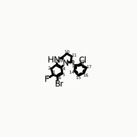 FC1CC2=C(C=C1Br)N1C(CC[C@@H]1c1ccccc1Cl)N2